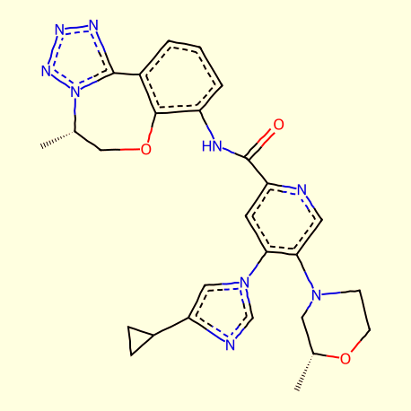 C[C@@H]1CN(c2cnc(C(=O)Nc3cccc4c3OC[C@H](C)n3nnnc3-4)cc2-n2cnc(C3CC3)c2)CCO1